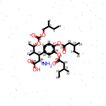 CCC(C)COC(=O)OC(C)C(C)C(c1ccc(OC(=O)CC(C)CC)c(OC(=O)CC(C)CC)c1)[C@H](N)C(=O)O